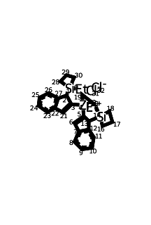 CC[Si]1(C2[C]([Zr+2]3([C]4=Cc5ccccc5C4[Si]4(CC)CCC4)[CH2][CH2]3)=Cc3ccccc32)CCC1.[Cl-].[Cl-]